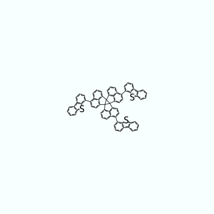 c1ccc2c(c1)sc1c(-c3ccc4c5c(cccc35)C35c6cccc7c(-c8cccc9c8sc8ccccc89)ccc(c67)C36c3ccc(-c7cccc8c7sc7ccccc78)c7cccc(c37)C456)cccc12